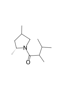 CC1C[C@@H](C)N(C(=O)C(C)C(C)C)C1